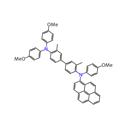 COc1ccc(N(c2ccc(OC)cc2)c2ccc(-c3ccc(N(c4ccc(OC)cc4)c4ccc5ccc6cccc7ccc4c5c67)c(C)c3)cc2C)cc1